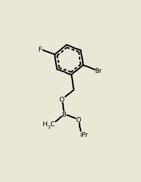 CB(OCc1cc(F)ccc1Br)OC(C)C